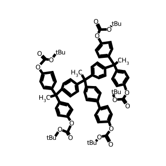 CC(C)(C)OC(=O)Oc1ccc(-c2ccc(C(C)(c3ccc(C(C)(c4ccc(OC(=O)OC(C)(C)C)cc4)c4ccc(OC(=O)OC(C)(C)C)cc4)cc3)c3ccc(C(C)(c4ccc(OC(=O)OC(C)(C)C)cc4)c4ccc(OC(=O)OC(C)(C)C)cc4)cc3)cc2)cc1